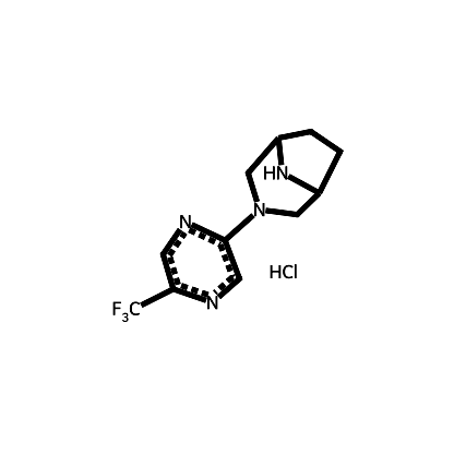 Cl.FC(F)(F)c1cnc(N2CC3CCC(C2)N3)cn1